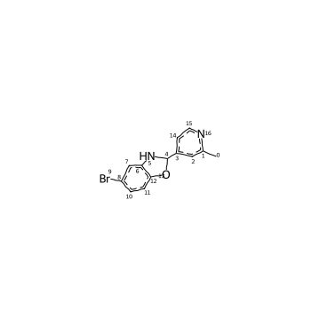 Cc1cc(C2Nc3cc(Br)ccc3O2)ccn1